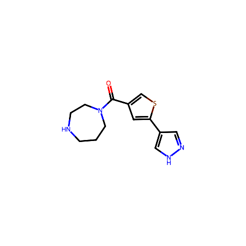 O=C(c1csc(-c2cn[nH]c2)c1)N1CCCNCC1